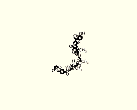 CCc1c2c(nc3ccc(O)cc13)-c1cc3c(c(=O)n1C2)COC(=O)C3(CC)CC(=O)OCCC(C)(C)OCCC(C)(C)n1cc(CNC(=O)C2CCC(CN3C(=O)C=CC3=O)CC2)nn1